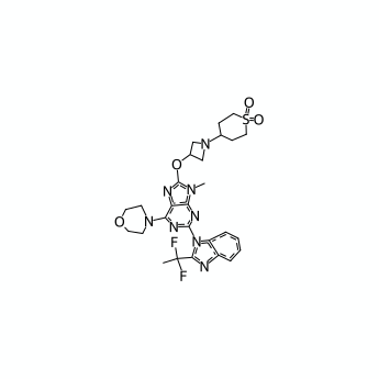 Cn1c(OC2CN(C3CCS(=O)(=O)CC3)C2)nc2c(N3CCOCC3)nc(-n3c(C(C)(F)F)nc4ccccc43)nc21